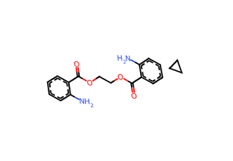 C1CC1.Nc1ccccc1C(=O)OCCOC(=O)c1ccccc1N